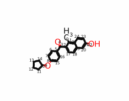 Cc1c(C(=O)c2ccc(OC3CCCC3)cc2)ccc2cc(O)ccc12